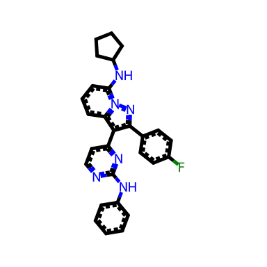 Fc1ccc(-c2nn3c(NC4CCCC4)cccc3c2-c2ccnc(Nc3ccccc3)n2)cc1